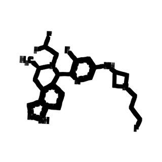 C[C@@H]1Cc2c(ccc3[nH]ncc23)C(c2ncc(NC3CN(CCCF)C3)cc2F)N1CC(F)F